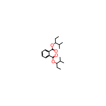 CCC(OC(=O)c1ccccc1C(=O)OC(CC)C(C)C)C(C)C